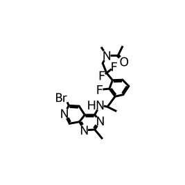 CC(=O)N(C)CC(F)(F)c1cccc(C(C)Nc2nc(C)nc3cnc(Br)cc23)c1F